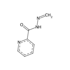 C=NNC(=O)c1ccccn1